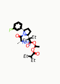 CCC(CC)C(=O)OC(C)OC(=O)C(CC)(CC)[C@H]1CC[C@@H](c2cccc(F)c2)N1C(=O)[C@@H](C)N